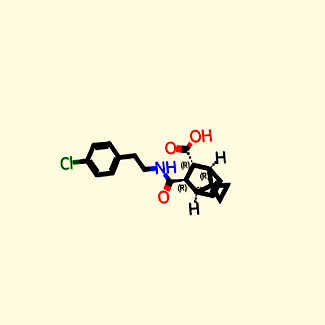 O=C(O)[C@H]1[C@H](C(=O)NCCc2ccc(Cl)cc2)[C@@H]2C=C[C@H]1C21CC1